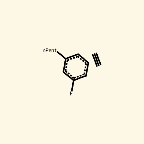 C#C.CCCCCc1cccc(F)c1